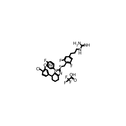 COc1cc(C2CCCc3nc(SCc4c(F)cc(CCCNC(=N)N)cc4F)n(-c4ccc(F)cc4)c32)ccc1Cl.O=C(O)C(F)(F)F